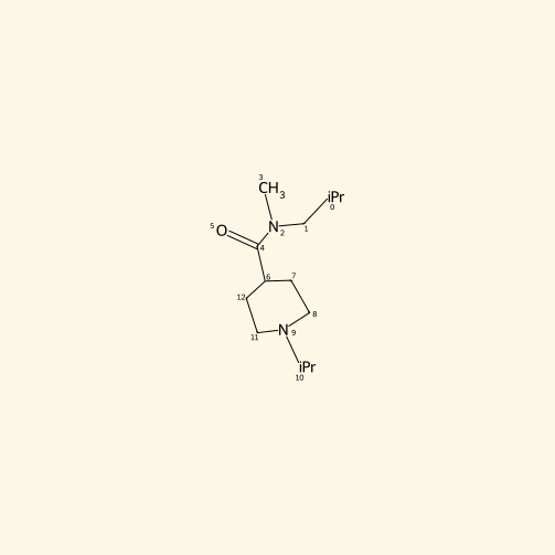 CC(C)CN(C)C(=O)C1CCN(C(C)C)CC1